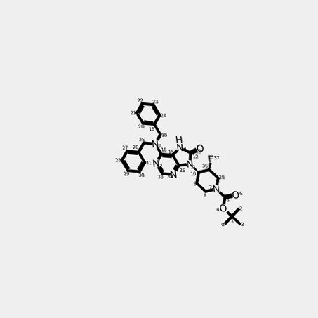 CC(C)(C)OC(=O)N1CC[C@@H](n2c(=O)[nH]c3c(N(Cc4ccccc4)Cc4ccccc4)ncnc32)[C@@H](F)C1